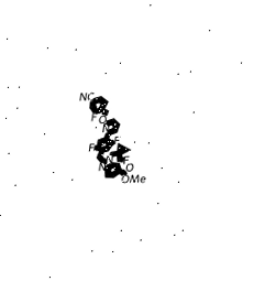 COC(=O)c1ccc2nc(Cc3cc(F)c(-c4cccc(OCc5ccc(C#N)cc5F)n4)cc3F)n(CC3(CF)CC3)c2c1